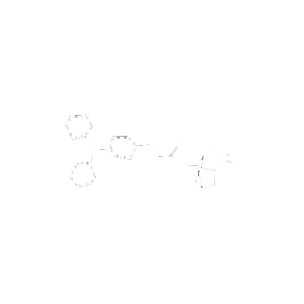 O=C(COc1ccc([S+](c2ccccc2)c2ccccc2)cc1)OC1C2CC3C1OS(=O)(=O)C3C2